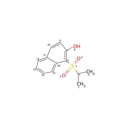 CC(C)S(=O)(=O)c1c(O)ccc2ccccc12